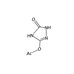 CC(=O)Oc1n[nH]c(=O)[nH]1